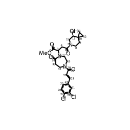 COC(=O)C(CC(=O)N1CCC2(CC2)[C@H](O)C1)N1CCN(C(=O)/C=C/c2ccc(Cl)c(Cl)c2)CCC1=O